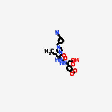 CCCC[C@H](NC(=O)N[C@@H](CC(=O)O)c1ccc2c(c1)OCO2)C(=O)N1CCN(Cc2cccc(C#N)c2)CC1